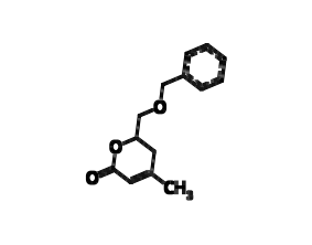 CC1=CC(=O)OC(COCc2ccccc2)C1